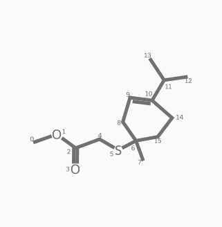 COC(=O)CSC1(C)CC=C(C(C)C)CC1